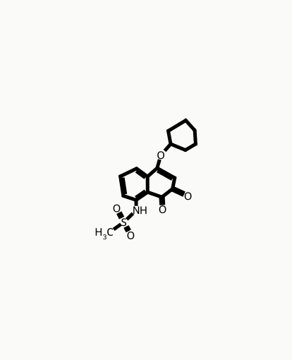 CS(=O)(=O)Nc1cccc2c1C(=O)C(=O)C=C2OC1CCCCC1